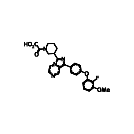 COc1cccc(Oc2ccc(-c3nc(C4CCCN(C(=O)C(=O)O)C4)n4ccncc34)cc2)c1F